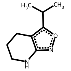 CC(C)c1onc2c1CCCN2